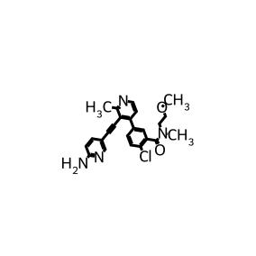 COCCN(C)C(=O)c1cc(-c2ccnc(C)c2C#Cc2ccc(N)nc2)ccc1Cl